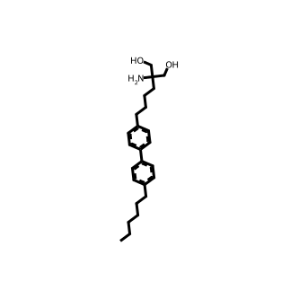 CCCCCCc1ccc(-c2ccc(CCCCC(N)(CO)CO)cc2)cc1